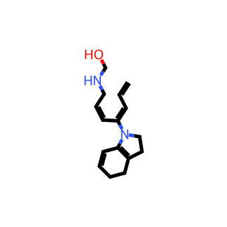 C=C/C=C(\C=C/CNCO)N1CCC2=C1C=CCC2